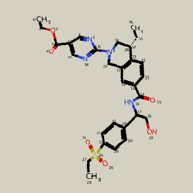 CCOC(=O)c1cnc(N2Cc3cc(C(=O)NC(CO)c4ccc(S(=O)(=O)CC)cc4)ccc3[C@@H](CC)C2)nc1